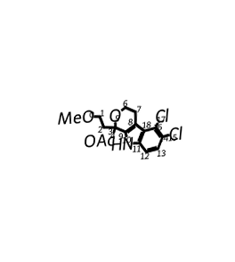 COCCC1(OC(C)=O)OCCc2c1[nH]c1ccc(Cl)c(Cl)c21